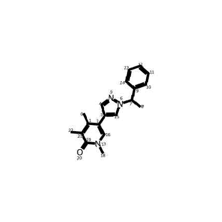 Cc1c(-c2cnn(C(C)c3ccccc3)c2)cn(C)c(=O)c1C